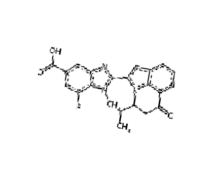 CCC1CC(=O)c2cccc3cc(-c4nc5cc(C(=O)O)cc(F)c5n4C)n1c23